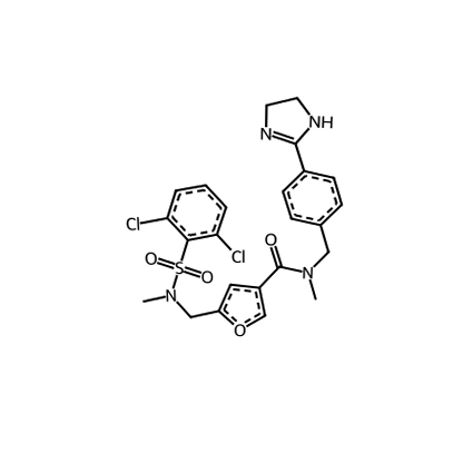 CN(Cc1ccc(C2=NCCN2)cc1)C(=O)c1coc(CN(C)S(=O)(=O)c2c(Cl)cccc2Cl)c1